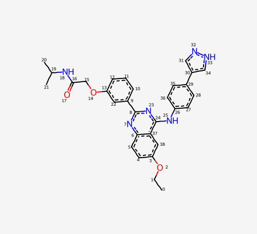 CCOc1ccc2nc(-c3cccc(OCC(=O)NC(C)C)c3)nc(Nc3ccc(-c4cn[nH]c4)cc3)c2c1